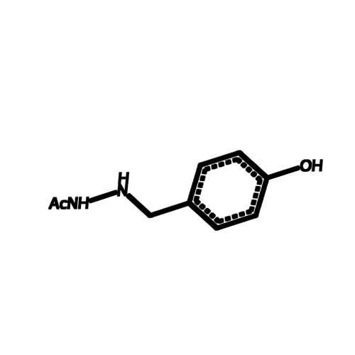 CC(=O)NNCc1ccc(O)cc1